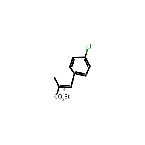 CCOC(=O)/C(C)=C/c1ccc(Cl)cc1